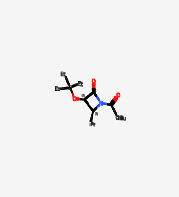 CC[Si](CC)(CC)O[C@H]1C(=O)N(C(=O)OCC(C)C)[C@H]1C(C)C